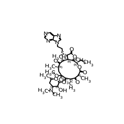 CC[C@H]1OC(=O)[C@H](C)C(=O)[C@H](C)[C@@H](O[C@@H]2O[C@H](C)C[C@H](N(C)C)[C@H]2O)[C@](C)(OC)C[C@@H](C)C(=O)[C@H](C)[C@H]2[C@H](SCCn3cnc4cncnc43)C(=O)O[C@@]21C